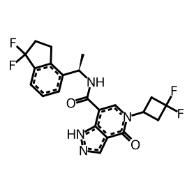 C[C@@H](NC(=O)c1cn(C2CC(F)(F)C2)c(=O)c2cn[nH]c12)c1cccc2c1CCC2(F)F